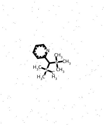 CS(C)(C)C(c1ccccn1)S(C)(C)C